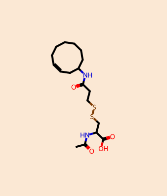 CC(=O)NC(CSSCCC(=O)NC1C/C=C\CCCCCC1)C(=O)O